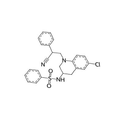 N#CC(CN1CC(NS(=O)(=O)c2ccccc2)Cc2cc(Cl)ccc21)c1ccccc1